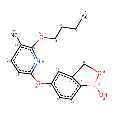 CC(=O)CCCOc1nc(Oc2ccc3c(c2)COB3O)ccc1C#N